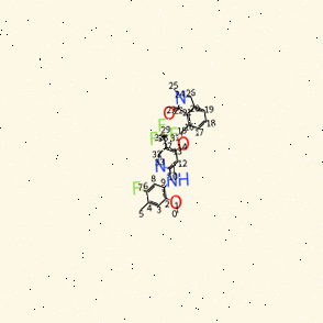 COc1cc(C)c(F)cc1Nc1cc(OCc2cccc3c2C(=O)N(C)C3)c(C(F)(F)F)cn1